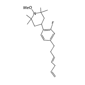 C=CC/C=C/CCc1ccc(C2CC(C)(C)N(OC)C(C)(C)C2)c(F)c1